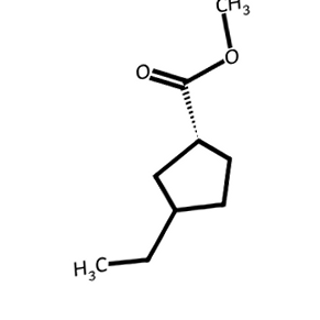 CCC1CC[C@@H](C(=O)OC)C1